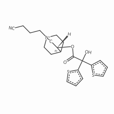 N#CCCC[N+]12CCC(CC1)[C@@H](OC(=O)C(O)(c1cccs1)c1cccs1)C2